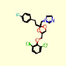 Fc1ccc(CCC2(Cn3ccnc3)OCC(COc3c(Cl)cccc3Cl)O2)cc1